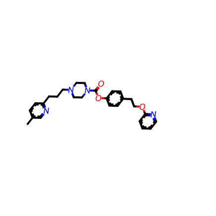 Cc1ccc(CCCN2CCN(C(=O)Oc3ccc(CCOc4ccccn4)cc3)CC2)nc1